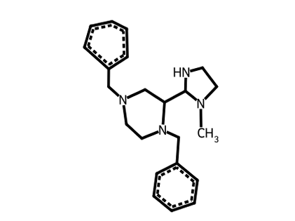 CN1CCNC1C1CN(Cc2ccccc2)CCN1Cc1ccccc1